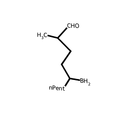 BC(CCCCC)CCC(C)C=O